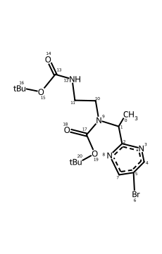 CC(c1ncc(Br)cn1)N(CCNC(=O)OC(C)(C)C)C(=O)OC(C)(C)C